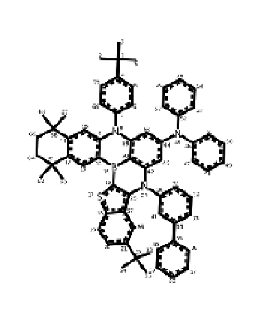 CC(C)(C)c1ccc(N2c3cc4c(cc3B3c5sc6ccc(C(C)(C)C)cc6c5N(c5cccc(-c6ccccc6)c5)c5cc(N(c6ccccc6)c6ccccc6)cc2c53)C(C)(C)CCC4(C)C)cc1